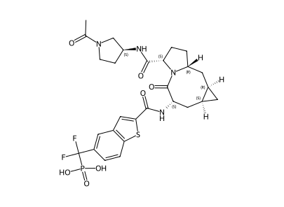 CC(=O)N1CC[C@H](NC(=O)[C@@H]2CC[C@@H]3C[C@H]4C[C@H]4C[C@H](NC(=O)c4cc5cc(C(F)(F)P(=O)(O)O)ccc5s4)C(=O)N32)C1